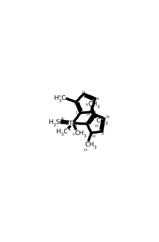 CC1=[C]([Ti]([CH3])([CH3])(=[SiH2])[C]2=C(C)C=CC2C)C(C)C=C1